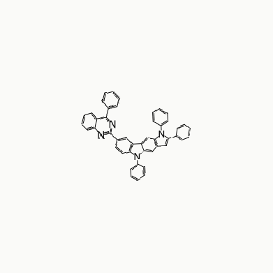 c1ccc(-c2nc(-c3ccc4c(c3)c3cc5c(cc(-c6ccccc6)n5-c5ccccc5)cc3n4-c3ccccc3)nc3ccccc23)cc1